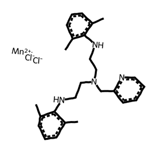 Cc1cccc(C)c1NCCN(CCNc1c(C)cccc1C)Cc1ccccn1.[Cl-].[Cl-].[Mn+2]